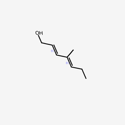 CC/C=C(C)/C=C/CO